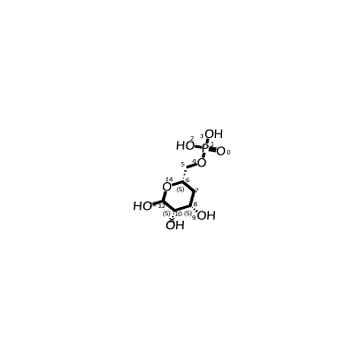 O=P(O)(O)OC[C@@H]1C[C@H](O)[C@H](O)C(O)O1